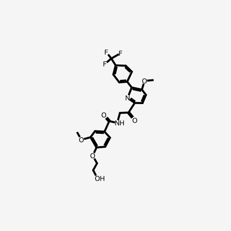 COc1cc(C(=O)NCC(=O)c2ccc(OC)c(-c3ccc(C(F)(F)F)cc3)n2)ccc1OCCO